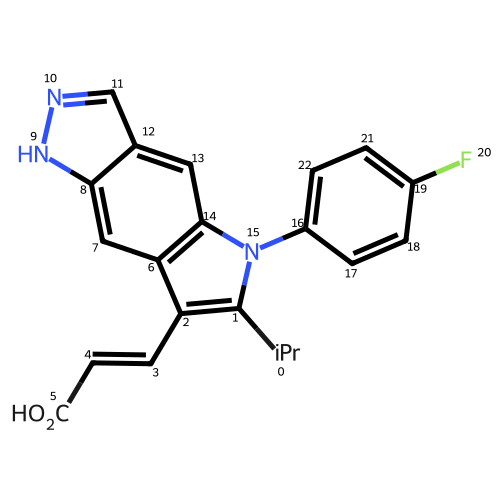 CC(C)c1c(C=CC(=O)O)c2cc3[nH]ncc3cc2n1-c1ccc(F)cc1